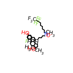 C[C@]1(O)CC[C@H]2[C@@H]3[C@H](CCCCC[N+](C)([O-])CCCCCCC(F)(F)C(F)(F)C(F)(F)F)Cc4cc(O)cc(F)c4[C@H]3CC[C@@]21C